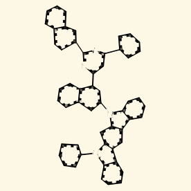 c1ccc(-c2cc(-c3cc(-n4c5ccccc5c5cc6c7ccccc7n(-c7ccccc7)c6cc54)cc4ccccc34)nc(-c3ccc4ccccc4c3)n2)cc1